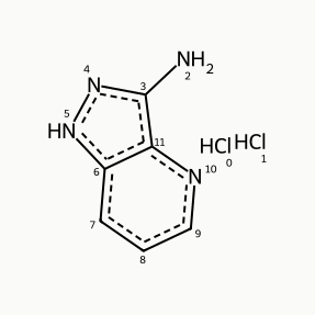 Cl.Cl.Nc1n[nH]c2cccnc12